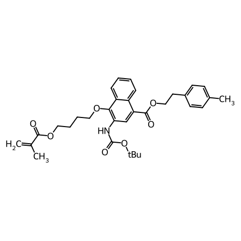 C=C(C)C(=O)OCCCCOc1c(NC(=O)OC(C)(C)C)cc(C(=O)OCCc2ccc(C)cc2)c2ccccc12